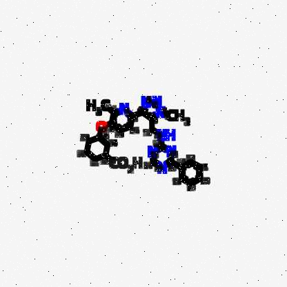 Cc1nc(-c2nnn(C)c2CNc2ncnc(-c3ccccc3)n2)ccc1OC1CCCC(C(=O)O)C1